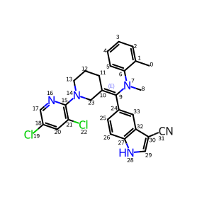 Cc1ccccc1N(C)/C(=C1\CCCN(c2ncc(Cl)cc2Cl)C1)c1ccc2[nH]cc(C#N)c2c1